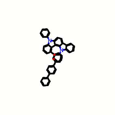 c1ccc(-c2ccc(-c3ccc(-n4c5ccccc5c5ccc6c(c7c(-c8ccccc8)cccc7n6-c6ccccc6)c54)cc3)cc2)cc1